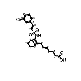 O=C(O)CCC/C=C/CC1C2CCC(O2)C1NS(=O)(=O)/C=C/c1cccc(Cl)c1